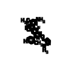 Cc1cc(N)nc(-c2c(Cl)cc3c(N4CCNCC4C)nc(OCC4CCCN4C)nc3c2F)c1C(F)(F)F